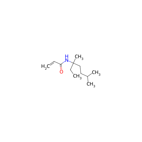 C=CC(=O)NC(C)(CC)CCC(C)C